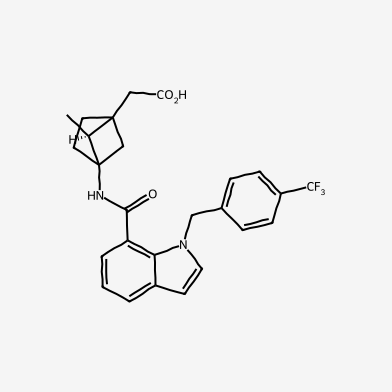 C[C@H]1C2(CC(=O)O)CCC1(NC(=O)c1cccc3ccn(Cc4ccc(C(F)(F)F)cc4)c13)C2